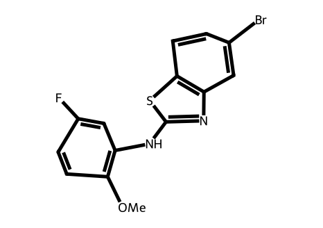 COc1ccc(F)cc1Nc1nc2cc(Br)ccc2s1